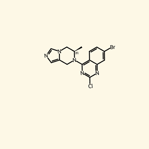 C[C@@H]1Cn2cncc2CN1c1nc(Cl)nc2cc(Br)ccc12